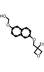 CCC1(COc2ccc3cc(OCO)ccc3c2)COC1